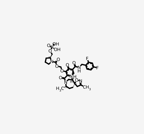 CC1=NO[C@@]2(CC[C@H](C)N3C[C@H]2n2cc(C(=O)NCc4ccc(F)cc4F)c(=O)c(OCOC(=O)N4CCC[C@H]4COP(=O)(O)O)c2C3=O)C1